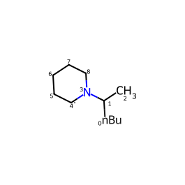 CCCCC(C)N1[CH]CCCC1